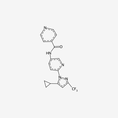 O=C(Nc1ccc(-n2nc(C(F)(F)F)cc2C2CC2)nc1)c1ccncc1